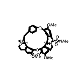 CNS(=O)(=O)N1c2cc(OC)c3cc2C[C@@H]2c4c(cc(OC)c(OC)c4Oc4cc5c(cc4OC)CCN(C)[C@H]5CCc4ccc(cc4)O3)CCN21